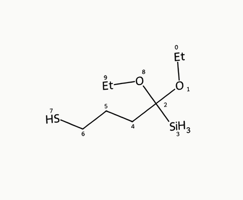 CCOC([SiH3])(CCCS)OCC